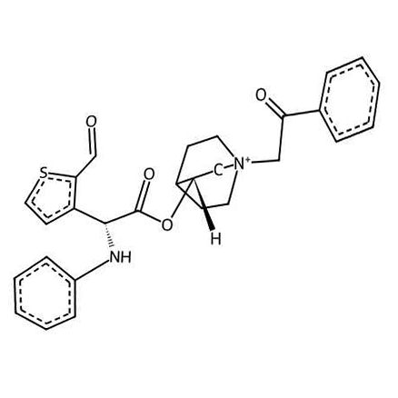 O=Cc1sccc1[C@@H](Nc1ccccc1)C(=O)O[C@H]1C[N+]2(CC(=O)c3ccccc3)CCC1CC2